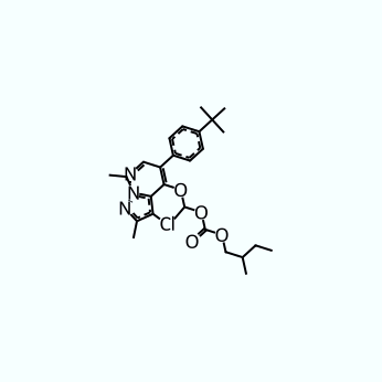 CCC(C)COC(=O)OC(C)O/C(=C(/C=N\C)c1ccc(C(C)(C)C)cc1)c1c(Cl)c(C)nn1CC